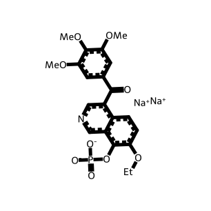 CCOc1ccc2c(C(=O)c3cc(OC)c(OC)c(OC)c3)cncc2c1OP(=O)([O-])[O-].[Na+].[Na+]